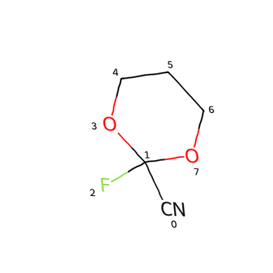 N#CC1(F)OCCCO1